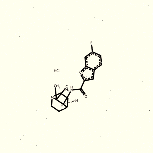 CC1(C)[C@@H](NC(=O)c2cc3ccc(F)cc3s2)C2CCN1CC2.Cl